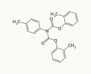 Cc1ccc(N(C(=O)Oc2ccccc2C)C(=O)Oc2ccccc2C)cc1